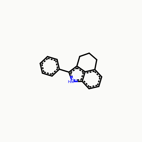 c1ccc(-c2[nH]c3cccc4c3c2CCC4)cc1